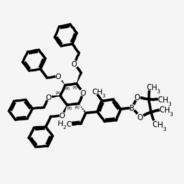 C=CC(c1ccc(B2OC(C)(C)C(C)(C)O2)cc1C)[C@H]1O[C@H](COCc2ccccc2)[C@@H](OCc2ccccc2)[C@H](OCc2ccccc2)[C@@H]1OCc1ccccc1